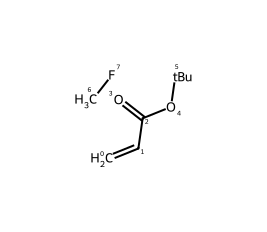 C=CC(=O)OC(C)(C)C.CF